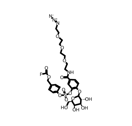 [N-]=[N+]=NCCOCCOCCOCCNC(=O)c1ccc(OC2O[C@H](CO)[C@H](O)[C@H](O)[C@H]2O)c(OS(=O)(=O)Oc2ccc(COC(=O)F)cc2)c1